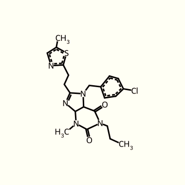 CCCN1C(=O)C2C(N=C(CCc3ncc(C)s3)N2Cc2ccc(Cl)cc2)N(C)C1=O